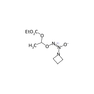 CCOC(=O)OC(C)O/N=[N+](/[O-])N1CCC1